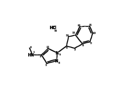 CNc1cnn(C2Cc3ccccc3C2)c1.Cl